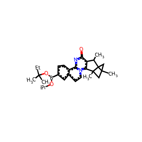 CCC(C)(C)OB(OC(C)C)c1ccc2c(ccn3c4c(c(=O)nc23)C(C)C23CC2(C)CC43C)c1